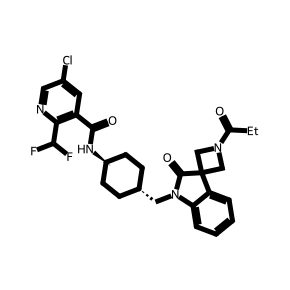 CCC(=O)N1CC2(C1)C(=O)N(C[C@H]1CC[C@H](NC(=O)c3cc(Cl)cnc3C(F)F)CC1)c1ccccc12